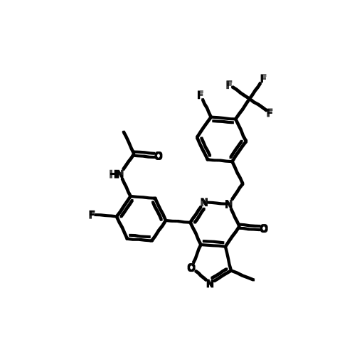 CC(=O)Nc1cc(-c2nn(Cc3ccc(F)c(C(F)(F)F)c3)c(=O)c3c(C)noc23)ccc1F